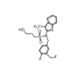 Cc1c(N(Cc2ccc(F)c(CF)c2)S(=O)(=O)CCCO)sc2ccccc12